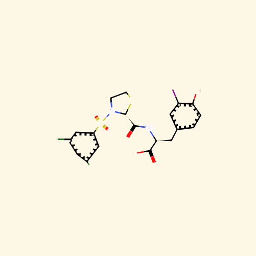 O=C(O)[C@H](Cc1ccc(O)c(I)c1)NC(=O)[C@@H]1SCCN1S(=O)(=O)c1cc(Cl)cc(Cl)c1